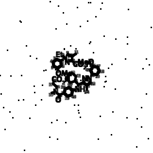 CC[N+]1(c2cccc(OC)c2)C=C(C)C(C(=O)O)=N1.COc1cccc(-n2cc(C)c(C(Nc3ccc(C(=O)N(C)CCC(=O)O)cc3)C3CCCCC3)n2)c1